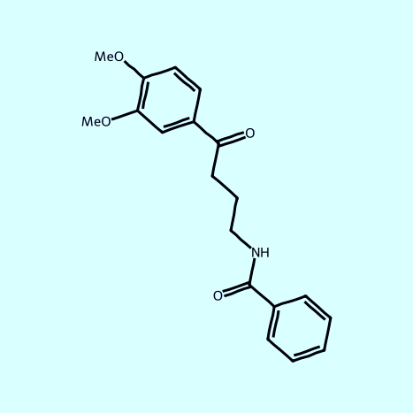 COc1ccc(C(=O)CCCNC(=O)c2ccccc2)cc1OC